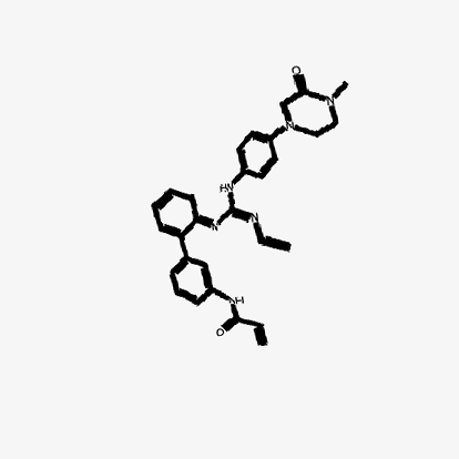 C=C/N=C(\N=C1/CC=CC=C1c1cccc(NC(=O)C=C)c1)Nc1ccc(N2CCN(C)C(=O)C2)cc1